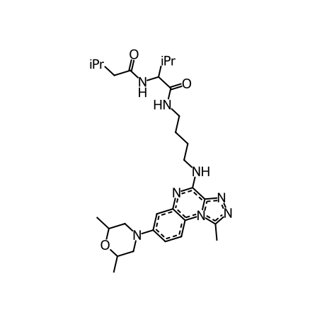 Cc1nnc2c(NCCCCNC(=O)C(NC(=O)CC(C)C)C(C)C)nc3cc(N4CC(C)OC(C)C4)ccc3n12